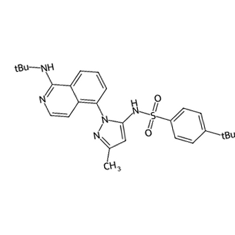 Cc1cc(NS(=O)(=O)c2ccc(C(C)(C)C)cc2)n(-c2cccc3c(NC(C)(C)C)nccc23)n1